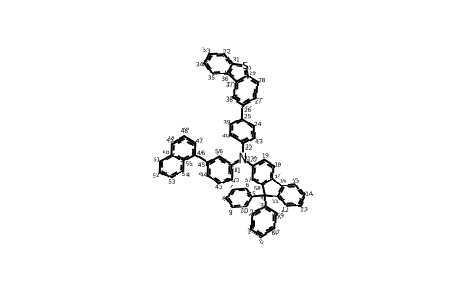 c1ccc(C2(c3ccccc3)c3ccccc3-c3ccc(N(c4ccc(-c5ccc6sc7ccccc7c6c5)cc4)c4cccc(-c5cccc6ccccc56)c4)cc32)cc1